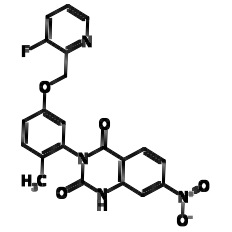 Cc1ccc(OCc2ncccc2F)cc1-n1c(=O)[nH]c2cc([N+](=O)[O-])ccc2c1=O